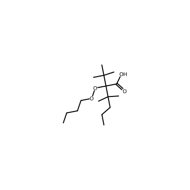 CCCCOOC(C(=O)O)(C(C)(C)C)C(C)(C)CCC